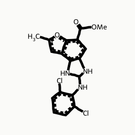 COC(=O)c1cc2c(c3cc(C)oc13)NC(Nc1c(Cl)cccc1Cl)N2